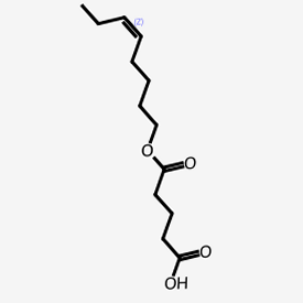 CC/C=C\CCCCOC(=O)CCCC(=O)O